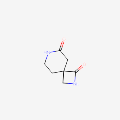 O=C1CC2(CCN1)CNC2=O